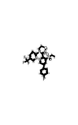 CCS(=O)(=O)c1cc(-c2ccc(F)cc2)cnc1C1=NOCCN1c1ccc(C(F)(F)F)cn1